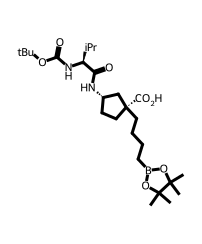 CC(C)[C@H](NC(=O)OC(C)(C)C)C(=O)N[C@H]1CC[C@@](CCCCB2OC(C)(C)C(C)(C)O2)(C(=O)O)C1